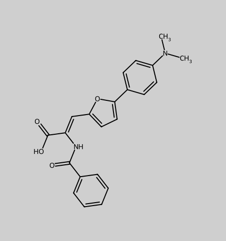 CN(C)c1ccc(-c2ccc(/C=C(\NC(=O)c3ccccc3)C(=O)O)o2)cc1